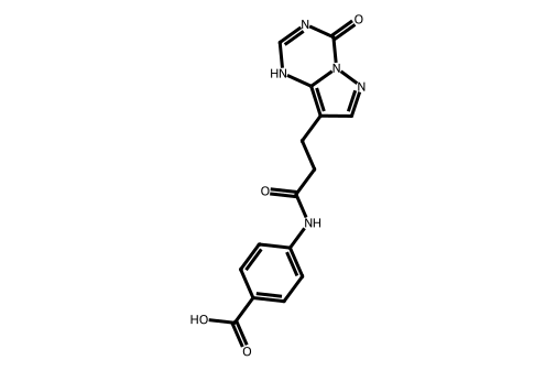 O=C(CCc1cnn2c(=O)nc[nH]c12)Nc1ccc(C(=O)O)cc1